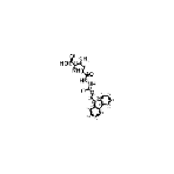 C[C@@H](CCC(=O)NNC(=O)OCC1c2ccccc2-c2ccccc21)[C@H](N)C(=O)O